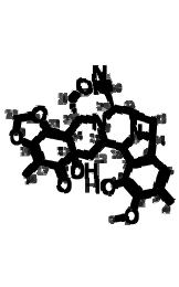 COc1c(C)cc2c(c1O)C1C3CC4(O)C(=O)C(C)=C5OCOC5=C4[C@H](CO)N3[C@@H](C#N)C3CC2N13